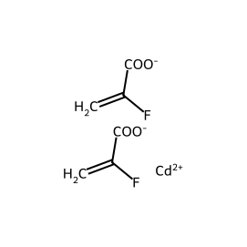 C=C(F)C(=O)[O-].C=C(F)C(=O)[O-].[Cd+2]